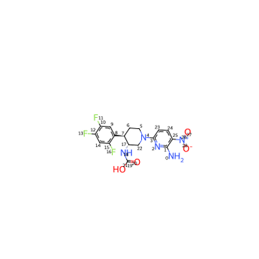 Nc1nc(N2CC[C@H](c3cc(F)c(F)cc3F)[C@@H](NC(=O)O)C2)ccc1[N+](=O)[O-]